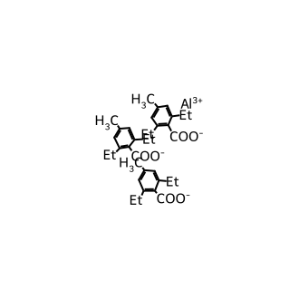 CCc1cc(C)cc(CC)c1C(=O)[O-].CCc1cc(C)cc(CC)c1C(=O)[O-].CCc1cc(C)cc(CC)c1C(=O)[O-].[Al+3]